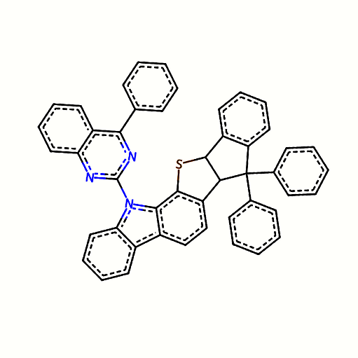 c1ccc(-c2nc(-n3c4ccccc4c4ccc5c(c43)SC3c4ccccc4C(c4ccccc4)(c4ccccc4)C53)nc3ccccc23)cc1